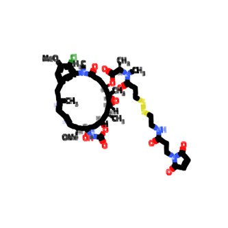 COc1cc2cc(c1Cl)N(C)C(=O)C[C@H](OC(=O)[C@H](C)N(C)C(=O)CCSSCCNC(=O)CCN1C(=O)C=CC1=O)[C@]1(C)O[C@H]1[C@H](C)[C@@H]1C[C@@](O)(NC(=O)O1)[C@H](OC)/C=C/C=C(\C)C2